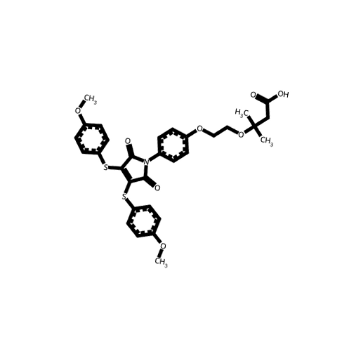 COc1ccc(SC2=C(Sc3ccc(OC)cc3)C(=O)N(c3ccc(OCCOC(C)(C)CC(=O)O)cc3)C2=O)cc1